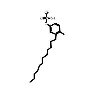 CCCCCCCCCCCCc1cc(OP(=O)(O)O)ccc1C